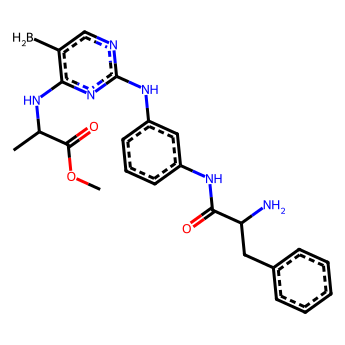 Bc1cnc(Nc2cccc(NC(=O)C(N)Cc3ccccc3)c2)nc1NC(C)C(=O)OC